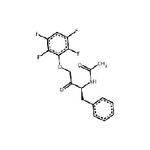 CC(=O)N[C@@H](Cc1ccccc1)C(=O)COc1c(F)c(F)cc(F)c1F